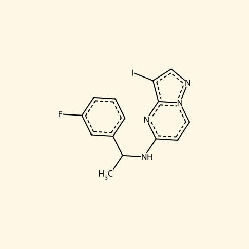 CC(Nc1ccn2ncc(I)c2n1)c1cccc(F)c1